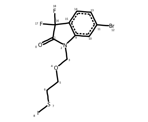 O=C1N(COCCSI)c2cc(Br)ccc2C1(F)F